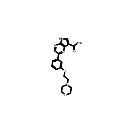 CC(C)(C)C(=O)c1c[nH]c2ncc(-c3cccc(OCCN4CCOCC4)c3)nc12